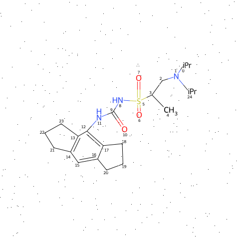 CC(C)N(CC(C)S(=O)(=O)NC(=O)Nc1c2c(cc3c1CCC3)CCC2)C(C)C